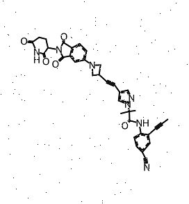 CC#Cc1cc(C#N)ccc1NC(=O)C(C)(C)n1cc(C#CC2CN(c3ccc4c(c3)C(=O)N(C3CCC(=O)NC3=O)C4=O)C2)cn1